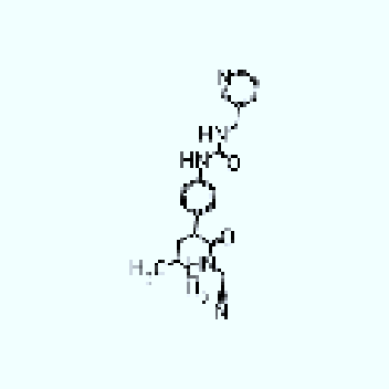 CC(C)CC(C(=O)NCC#N)c1ccc(NC(=O)NCc2cccnc2)cc1